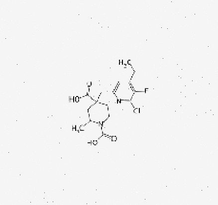 CCc1cc(CC2(C(=O)O)CCN(C(=O)O)C(C)C2)nc(Cl)c1F